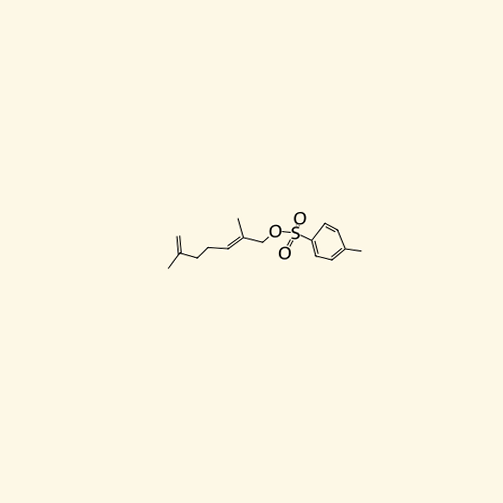 C=C(C)CC/C=C(\C)COS(=O)(=O)c1ccc(C)cc1